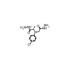 C[C@H](C(=O)NN)N(CC(=O)NN)c1ccc(Cl)cc1